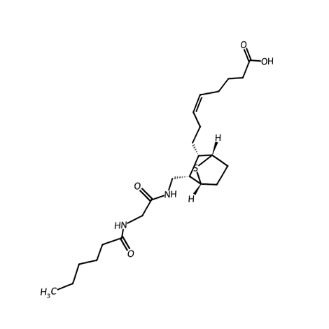 CCCCCC(=O)NCC(=O)NC[C@@H]1[C@H](CC/C=C\CCCC(=O)O)[C@@H]2CC[C@H]1S2